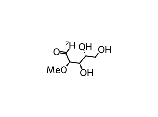 [2H]C(=O)[C@H](OC)[C@H](O)[C@H](O)CO